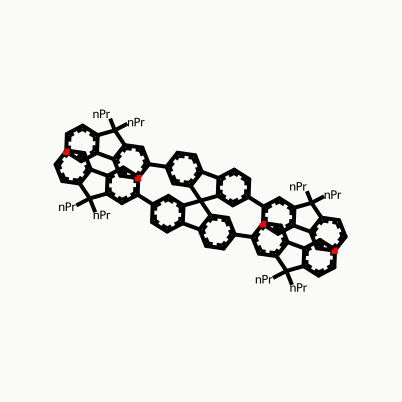 CCCC1(CCC)c2ccccc2-c2ccc(-c3ccc4c(c3)C3(c5cc(-c6ccc7c(c6)C(CCC)(CCC)c6ccccc6-7)ccc5-4)c4cc(-c5ccc6c(c5)C(CCC)(CCC)c5ccccc5-6)ccc4-c4ccc(-c5ccc6c(c5)C(CCC)(CCC)c5ccccc5-6)cc43)cc21